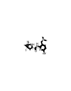 CN(C)Cc1ccc(Br)nc1NC(=O)[C@@H]1C[C@@]2(C)C[C@H]2N1